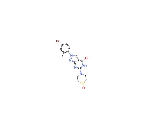 Cc1cc(Br)ccc1-n1cc2c(=O)[nH]c(N3CC[S+]([O-])CC3)nc2n1